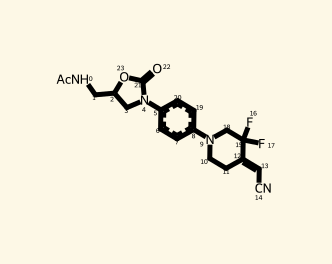 CC(=O)NCC1CN(c2ccc(N3CCC(=CC#N)C(F)(F)C3)cc2)C(=O)O1